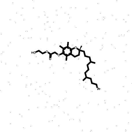 Cc1c(C)c2c(c(C)c1OCC(=O)OCCO)CC[C@@](C)(CCCC(C)CCCC(C)CCCC(C)C)O2